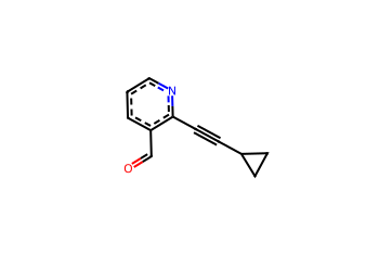 O=Cc1cccnc1C#CC1CC1